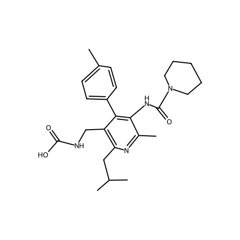 Cc1ccc(-c2c(CNC(=O)O)c(CC(C)C)nc(C)c2NC(=O)N2CCCCC2)cc1